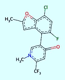 Cc1cc2c(-c3cn(C)c(C(F)(F)F)cc3=O)c(F)cc(Cl)c2o1